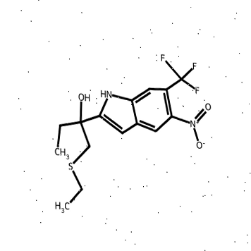 CCSCC(O)(CC)c1cc2cc([N+](=O)[O-])c(C(F)(F)F)cc2[nH]1